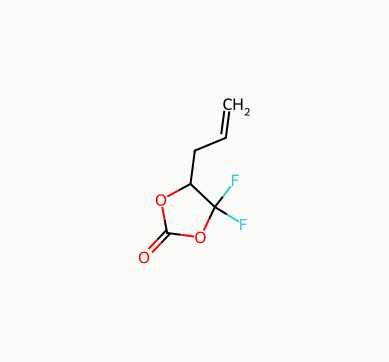 C=CCC1OC(=O)OC1(F)F